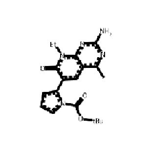 CCn1c(=O)c(-c2cccn2C(=O)OC(C)(C)C)cc2c(C)nc(N)nc21